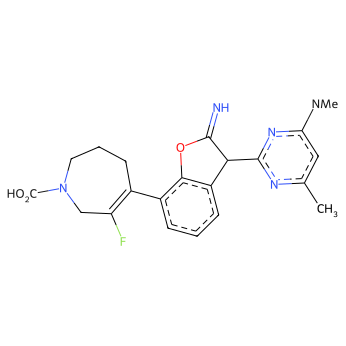 CNc1cc(C)nc(C2C(=N)Oc3c(C4=C(F)CN(C(=O)O)CCC4)cccc32)n1